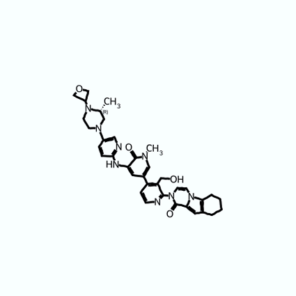 C[C@@H]1CN(c2ccc(Nc3cc(-c4ccnc(-n5ccn6c7c(cc6c5=O)CCCC7)c4CO)cn(C)c3=O)nc2)CCN1C1COC1